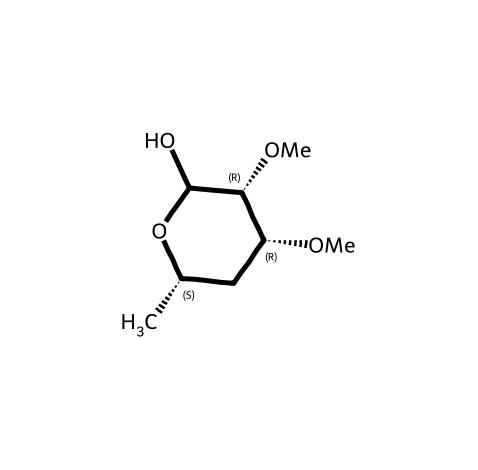 CO[C@@H]1C[C@H](C)OC(O)[C@@H]1OC